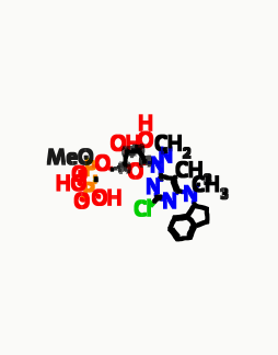 C=NN(c1nc(Cl)nc(N(C)C2CCc3ccccc32)c1C)[C@@H]1O[C@H](COP(=O)(CP(=O)(O)O)OC)[C@@H](O)[C@H]1O